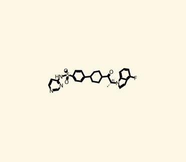 C[C@H](C(=O)C1CCC(c2ccc(S(=O)(=O)Nc3ccncn3)cc2)CC1)n1ccc2c(F)cccc21